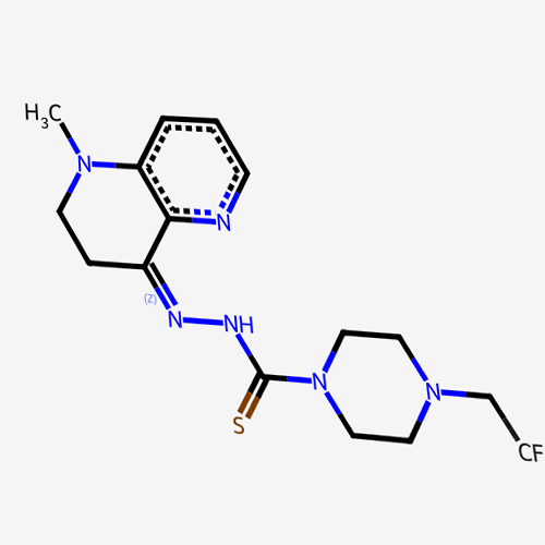 CN1CC/C(=N/NC(=S)N2CCN(CC(F)(F)F)CC2)c2ncccc21